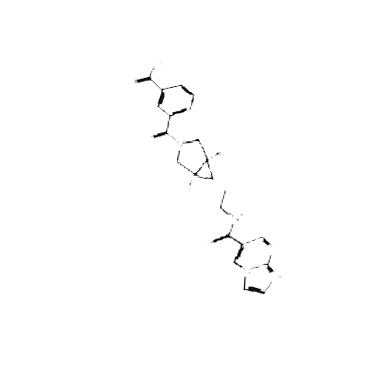 O=C(O)c1cccc(C(=O)N2C[C@@H]3[C@H](CCNC(=O)c4cnc5nccn5c4)[C@@H]3C2)c1